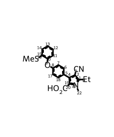 CCc1c(C#N)c(-c2ccc(Oc3ccccc3SC)cc2)c(C(=O)O)n1C